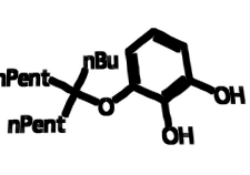 CCCCCC(CCCC)(CCCCC)Oc1cccc(O)c1O